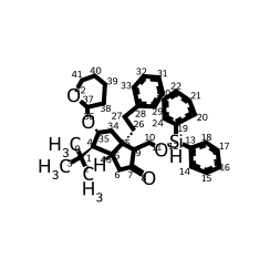 CC(C)(C)[C@@H]1[C@H]2CC(=O)C(CO[SiH](c3ccccc3)c3ccccc3)[C@]2(CCc2ccccc2)C[C@H]1OC1CCCCO1